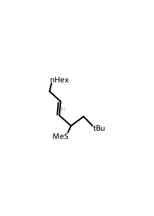 CCCCCCC/C=C/C(CC(C)(C)C)SC